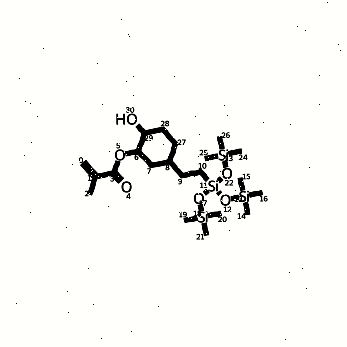 C=C(C)C(=O)OC1CC(CC[Si](O[Si](C)(C)C)(O[Si](C)(C)C)O[Si](C)(C)C)CCC1O